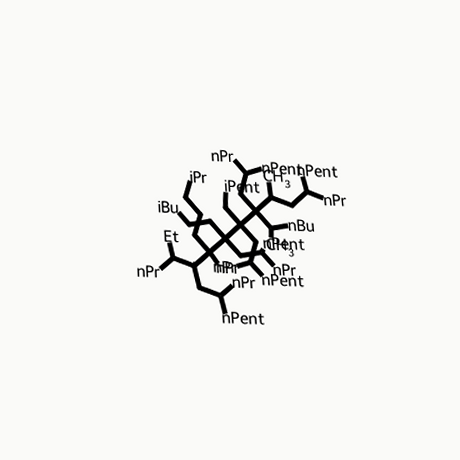 CCCCCC(CCC)C[C](C(CC)CCC)C(CCC)(CCCC(C)C)C(CCC(C)CC)(CC(CCC)CCCCC)C(CC(C)CCC)(CC(CCC)CCCCC)C(CC(CCC)CCCCC)(C(C)CCCC)C(C)CC(CCC)CCCCC